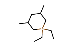 CCS1(CC)CC(C)CC(C)C1